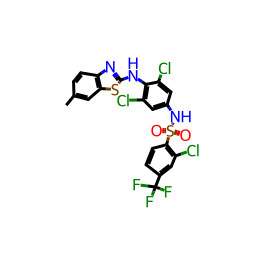 Cc1ccc2nc(Nc3c(Cl)cc(NS(=O)(=O)c4ccc(C(F)(F)F)cc4Cl)cc3Cl)sc2c1